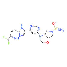 N=C(/C=C\c1ncc(-c2cc(N3CCOC4CN([S+](N)[O-])CC43)ncn2)[nH]1)C(F)F